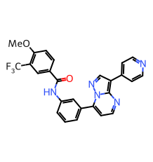 COc1ccc(C(=O)Nc2cccc(-c3ccnc4c(-c5ccncc5)cnn34)c2)cc1C(F)(F)F